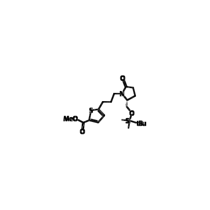 COC(=O)c1ccc(CCCN2C(=O)CC[C@@H]2CO[Si](C)(C)C(C)(C)C)s1